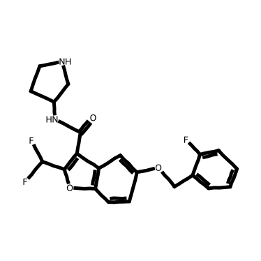 O=C(NC1CCNC1)c1c(C(F)F)oc2ccc(OCc3ccccc3F)cc12